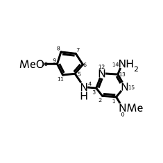 CNc1cc(Nc2cccc(OC)c2)nc(N)n1